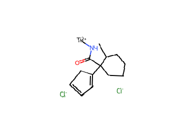 CC1CCCCC1(C(=O)[NH][Ti+2])C1=CC=CC1.[Cl-].[Cl-]